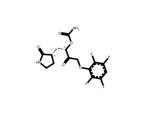 NC(=O)O[C@@H](C[C@@H]1CCNC1=O)C(=O)COc1c(F)c(F)cc(F)c1F